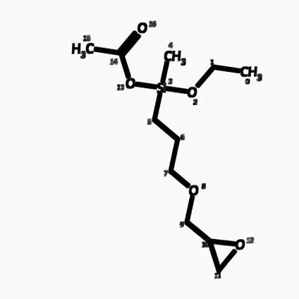 CCO[Si](C)(CCCOCC1CO1)OC(C)=O